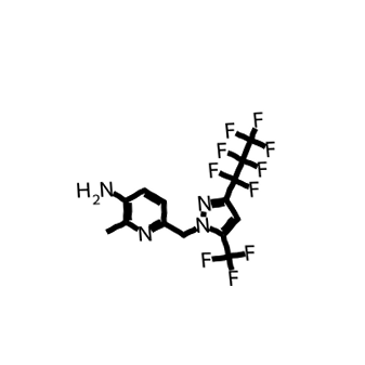 Cc1nc(Cn2nc(C(F)(F)C(F)(F)C(F)(F)F)cc2C(F)(F)F)ccc1N